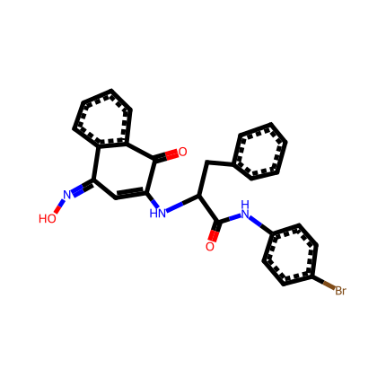 O=C1C(NC(Cc2ccccc2)C(=O)Nc2ccc(Br)cc2)=CC(=NO)c2ccccc21